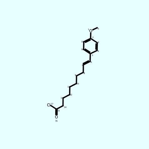 COc1ccc(C=CCCCCCCCC(=O)Cl)cc1